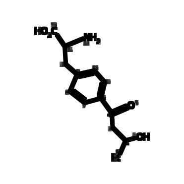 CCC(O)CC(=O)c1ccc(CC(N)C(=O)O)cc1